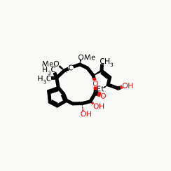 CC[C@H](/C=C(/C)[C@@H]1C[C@@H](OC)C[C@H](OC)C(C)(C)c2cccc(c2)C[C@@H](O)[C@H](O)C(=O)O1)CO